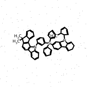 CC1C=CC=CC1n1c2c(c3ccc([Si](c4ccccc4)(c4ccccc4)c4cccc(-n5c6ccccc6c6ccc7c(c65)-c5ccccc5C7(C)C)c4)cc31)=CCCC=2